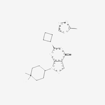 Cc1nnc([C@H]2CC[C@@H]2c2nc3c(cnn3C3CCC(C)(F)CC3)c(=O)[nH]2)s1